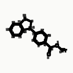 CC(C)OC(=O)c1ccc(N2CSc3ccccc32)cc1